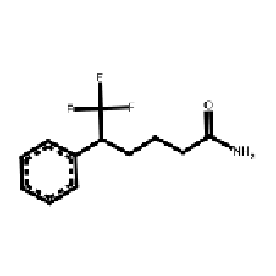 NC(=O)CCCC(c1ccccc1)C(F)(F)F